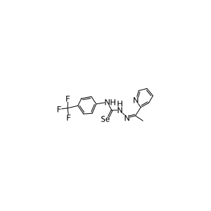 CC(=NNC(=[Se])Nc1ccc(C(F)(F)F)cc1)c1ccccn1